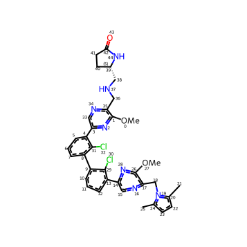 COc1nc(-c2cccc(-c3cccc(-c4cnc(Cn5c(C)ccc5C)c(OC)n4)c3Cl)c2Cl)cnc1CNC[C@@H]1CCC(=O)N1